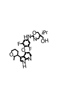 CC1OCCCC1c1c[nH]c2nccc(Oc3c(F)cc(NC4=NC[C@@](CO)(C(C)C)CO4)cc3F)c12